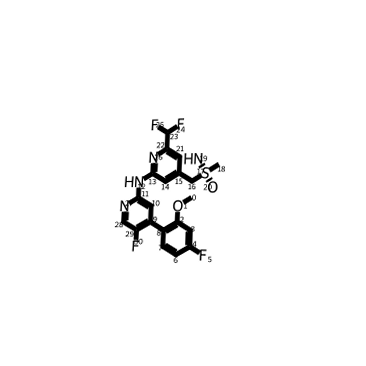 COc1cc(F)ccc1-c1cc(Nc2cc(CS(C)(=N)=O)cc(C(F)F)n2)ncc1F